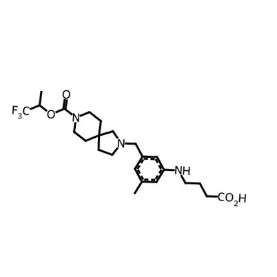 Cc1cc(CN2CCC3(CCN(C(=O)OC(C)C(F)(F)F)CC3)C2)cc(NCCCC(=O)O)c1